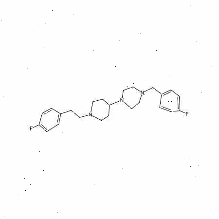 Fc1ccc(CCN2CCC(N3CCN(Cc4ccc(F)cc4)CC3)CC2)cc1